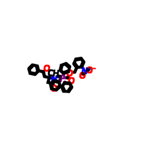 CC1(CC(=O)c2ccccc2)CC(=O)N1CP(C(=O)OCc1ccccc1[N+](=O)[O-])(c1ccccc1)(c1ccccc1)c1ccccc1